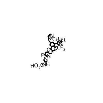 CCn1cc(-c2cc(Cn3ccnc3C)cc3c2OC[C@@H](Cc2ccc(F)c(N4CC(NC(=O)O)C4)n2)C3=O)c(C(F)(F)F)n1